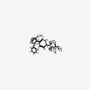 CCC(=O)NS(=O)(=O)C1C=CC(c2c(-c3ccccc3)noc2C)=CC1